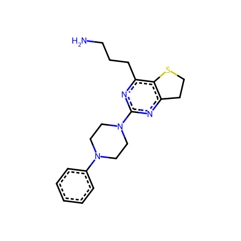 NCCCc1nc(N2CCN(c3ccccc3)CC2)nc2c1SCC2